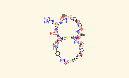 CC[C@H](C)[C@@H]1NC(=O)c2ccc(cc2)CNC(=O)CCCCCNC(=O)[C@@H]2CCCN2C(=O)[C@H]([C@@H](C)CC)NC(=O)[C@H]2NC(=O)[C@H]([C@@H](C)CC)NC(=O)[C@@H]3CCCN3C(=O)[C@@H]3CCCN3C(=O)[C@H](CC(C)(C)C)NC(=O)[C@H](CO)NC(=O)[C@H](CCCNC(=N)N)NC(=O)[C@H](CO)NC(=O)[C@H](CSSC2(C)C)NC1=O